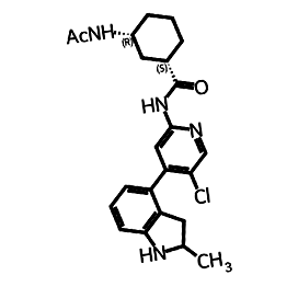 CC(=O)N[C@@H]1CCC[C@H](C(=O)Nc2cc(-c3cccc4c3CC(C)N4)c(Cl)cn2)C1